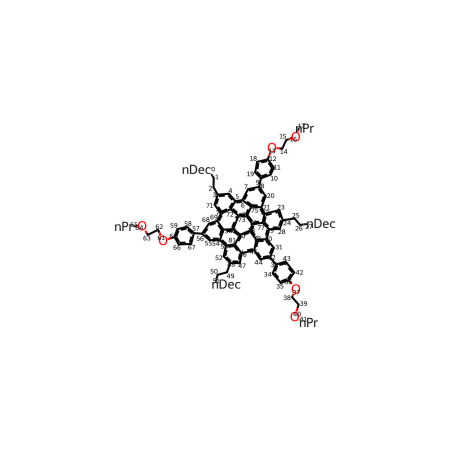 CCCCCCCCCCCCc1cc2c3cc(-c4ccc(OCCOCCC)cc4)cc4c5cc(CCCCCCCCCCCC)cc6c7cc(-c8ccc(OCCOCCC)cc8)cc8c9cc(CCCCCCCCCCCC)cc%10c%11cc(-c%12ccc(OCCOCCC)cc%12)cc%12c(c1)c2c1c(c34)c(c56)c(c78)c(c%109)c1c%12%11